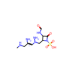 CNC/C(N)=C/N(N)CC1C(NC=O)C(=O)N1S(=O)(=O)O